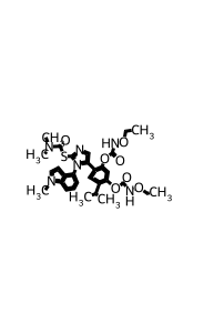 CCONC(=O)Oc1cc(OC(=O)NOCC)c(C(C)C)cc1-c1cnc(SC(=O)N(C)C)n1-c1cccc2c1ccn2C